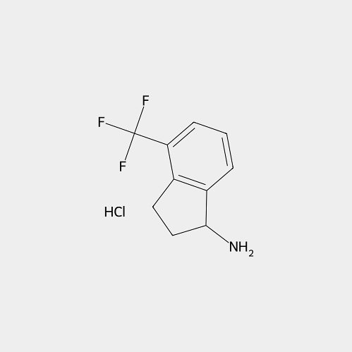 Cl.NC1CCc2c1cccc2C(F)(F)F